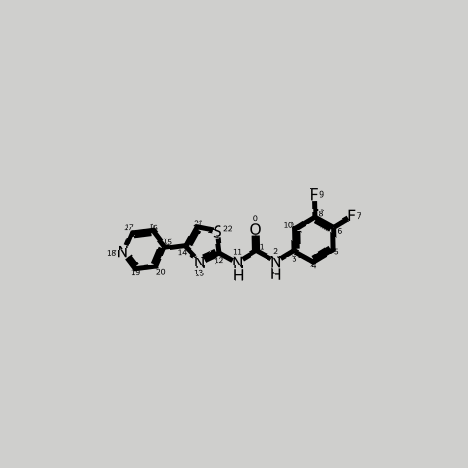 O=C(Nc1ccc(F)c(F)c1)Nc1nc(-c2ccncc2)cs1